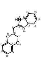 c1ccc2c(c1)OCC(Cc1nc3ccccc3[nH]1)O2